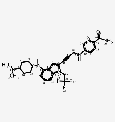 CN(C)[C@H]1CC[C@@H](Nc2cccc3c2cc(C#CCNc2ccc(C(N)=O)nc2)n3CC(F)(F)F)CC1